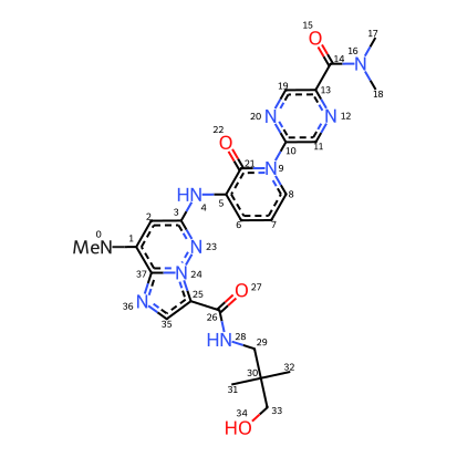 CNc1cc(Nc2cccn(-c3cnc(C(=O)N(C)C)cn3)c2=O)nn2c(C(=O)NCC(C)(C)CO)cnc12